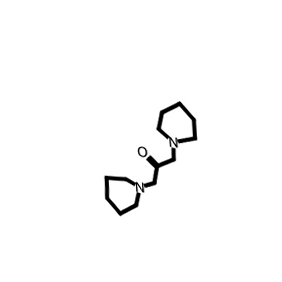 O=C(CN1CCCCC1)CN1CCCCC1